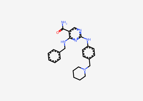 NC(=O)c1cnc(Nc2ccc(CN3CCCCC3)cc2)nc1NCc1ccccc1